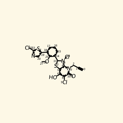 C#CCn1c2c(c(O)c(Cl)c1=O)SC(c1cccc(-c3cnc(Cl)s3)c1OC)N2Cl